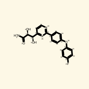 NC(=O)[C@@H](O)[C@H](O)c1ccnc(-c2ccc(Oc3ccc(F)cc3)cc2)n1